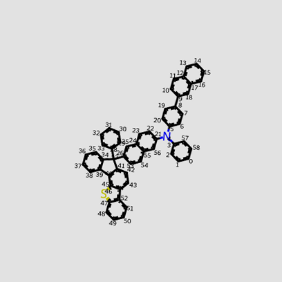 c1ccc(N(c2ccc(-c3ccc4ccccc4c3)cc2)c2ccc3cc(C4(c5ccccc5)c5ccccc5-c5c4ccc4c5sc5ccccc54)ccc3c2)cc1